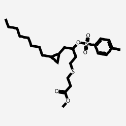 CCCCCCCCC1CC1CC(CCSCCC(=O)OC)OS(=O)(=O)c1ccc(C)cc1